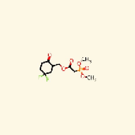 COP(=O)(CC(=O)OCC1CC(F)(F)CCC1=O)OC